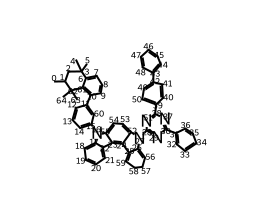 CC1CC(C)(C)c2cccc(-c3cccc(-n4c5ccccc5c5c6c7c(n(-c8nc(-c9ccccc9)nc(-c9ccc(-c%10ccccc%10)cc9)n8)c6ccc54)=CCCC=7)c3)c2C1(C)C